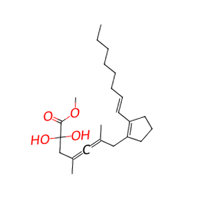 CCCCCC/C=C/C1=C(CC(C)=C=C(C)CC(O)(O)C(=O)OC)CCC1